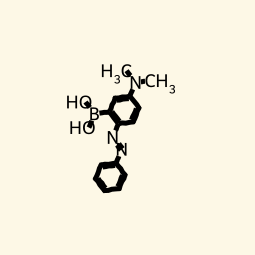 CN(C)c1ccc(/N=N/c2ccccc2)c(B(O)O)c1